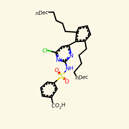 CCCCCCCCCCCCCCc1cccc(CCCCCCCCCCCCCC)c1-c1cc(Cl)nc(NS(=O)(=O)c2cccc(C(=O)O)c2)n1